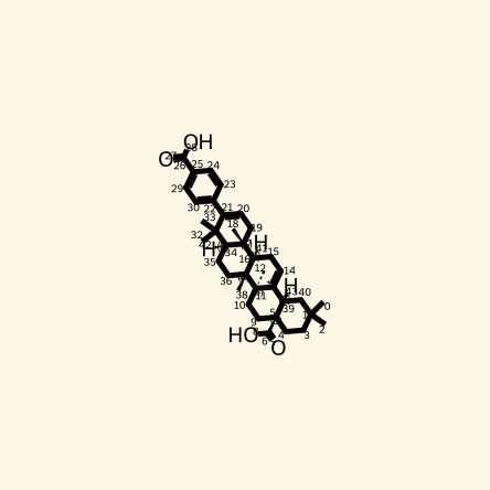 CC1(C)CC[C@]2(C(=O)O)CC[C@]3(C)C(=CC[C@@H]4[C@@]5(C)CC=C(c6ccc(C(=O)O)cc6)C(C)(C)[C@@H]5CC[C@]43C)[C@@H]2C1